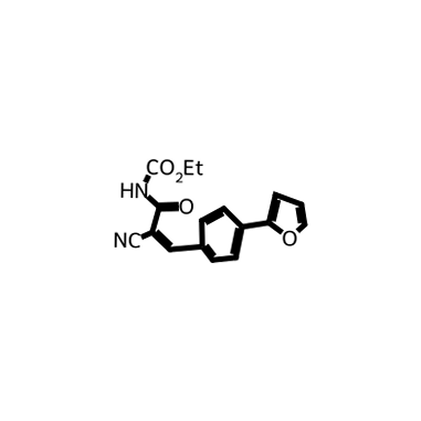 CCOC(=O)NC(=O)C(C#N)=Cc1ccc(-c2ccco2)cc1